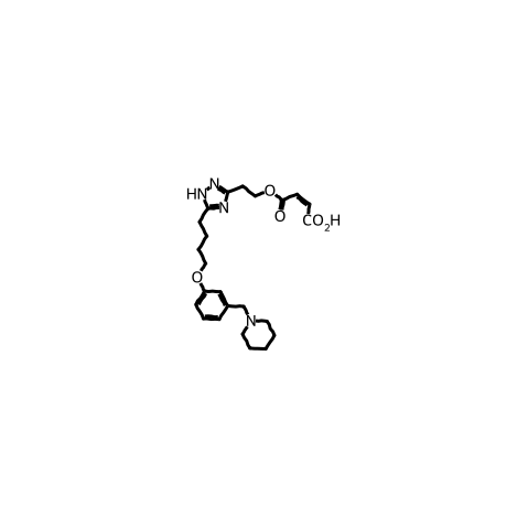 O=C(O)/C=C\C(=O)OCCc1n[nH]c(CCCCOc2cccc(CN3CCCCC3)c2)n1